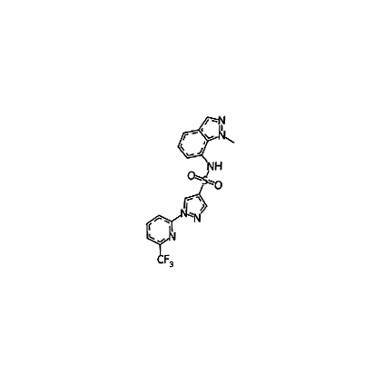 Cn1ncc2cccc(NS(=O)(=O)c3cnn(-c4cccc(C(F)(F)F)n4)c3)c21